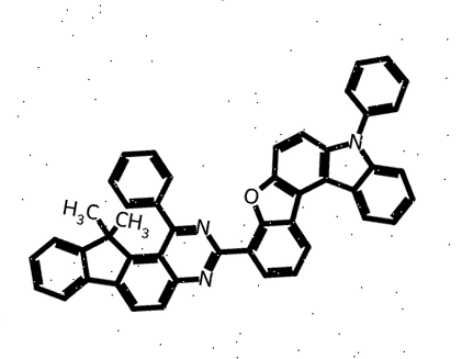 CC1(C)c2ccccc2-c2ccc3nc(-c4cccc5c4oc4ccc6c(c7ccccc7n6-c6ccccc6)c45)nc(-c4ccccc4)c3c21